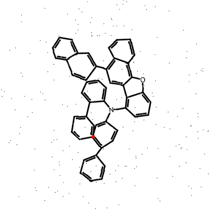 c1ccc(-c2ccc(N(c3ccccc3-c3ccccc3)c3cccc4oc5c6ccccc6c(-c6ccc7ccccc7c6)cc5c34)cc2)cc1